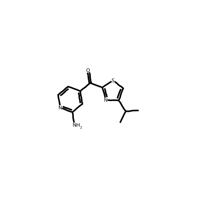 CC(C)c1csc(C(=O)c2ccnc(N)c2)n1